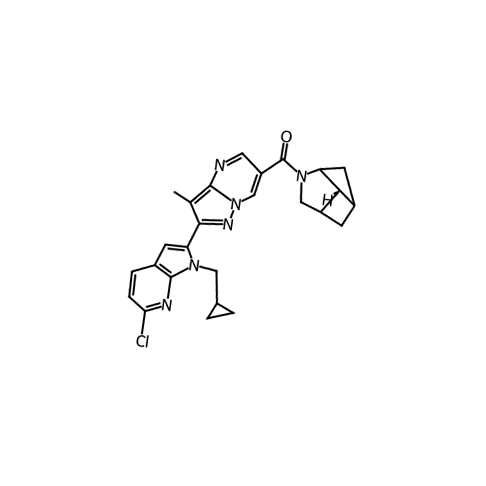 Cc1c(-c2cc3ccc(Cl)nc3n2CC2CC2)nn2cc(C(=O)N3CC4CC5CC3[C@H]54)cnc12